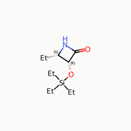 CC[C@@H]1NC(=O)[C@@H]1O[Si](CC)(CC)CC